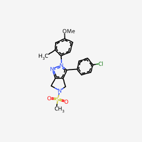 COc1ccc(-n2nc3c(c2-c2ccc(Cl)cc2)CN(S(C)(=O)=O)C3)c(C)c1